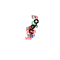 CCCCO[C@@H]1[C@@H](OCCCC)[C@@]2(c3ccc(Cl)c(Cc4ccc(OCC)cc4)c3)OC[C@](/C=N/O)(O2)[C@H]1OCCCC